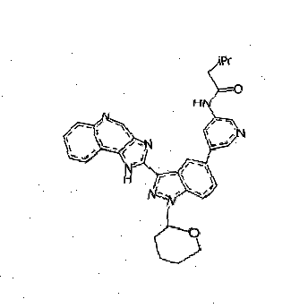 CC(C)CC(=O)Nc1cncc(-c2ccc3c(c2)c(-c2nc4cnc5ccccc5c4[nH]2)nn3C2CCCCO2)c1